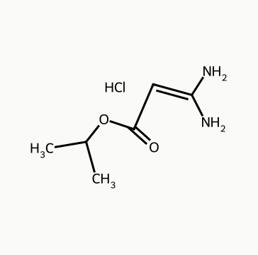 CC(C)OC(=O)C=C(N)N.Cl